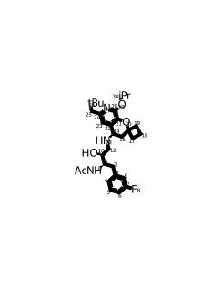 CC(=O)N[C@@H](Cc1cccc(F)c1)[C@@H](O)CN[C@@H]1CC2(CCC2)Oc2c1cc(CC(C)(C)C)nc2OC(C)C